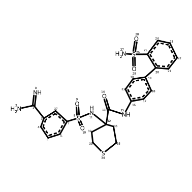 N=C(N)c1cccc(S(=O)(=O)NC2(C(=O)Nc3ccc(-c4ccccc4S(N)(=O)=O)cc3)CCSCC2)c1